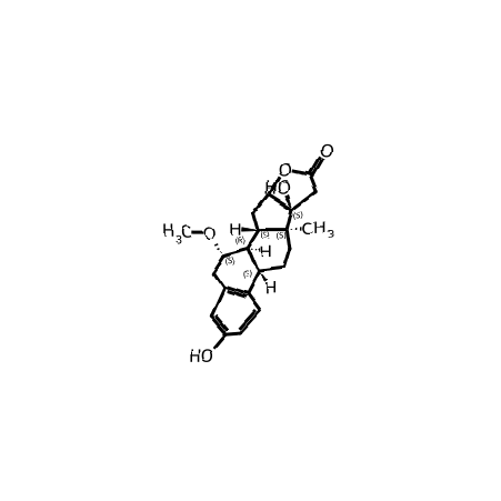 CO[C@H]1Cc2cc(O)ccc2[C@H]2CC[C@@]3(C)[C@@H](CC4OC(=O)C[C@@]43O)[C@H]12